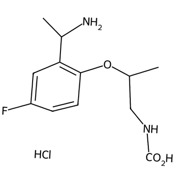 CC(CNC(=O)O)Oc1ccc(F)cc1C(C)N.Cl